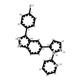 Fc1ccc(-c2onc3ccc(-c4ccnn4-c4ccccn4)cc23)cc1